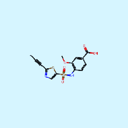 CC#Cc1ncc(S(=O)(=O)Nc2ccc(C(=O)O)cc2OC)s1